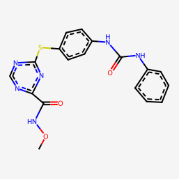 CONC(=O)c1ncnc(Sc2ccc(NC(=O)Nc3ccccc3)cc2)n1